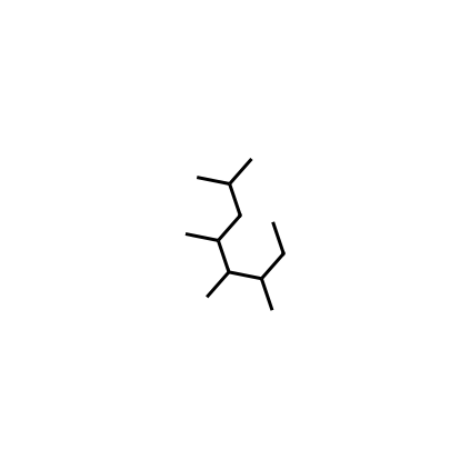 CCC(C)[C](C)C(C)CC(C)C